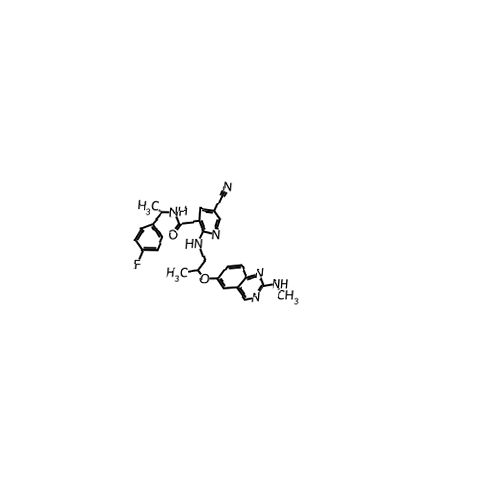 CNc1ncc2cc(OC(C)CNc3ncc(C#N)cc3C(=O)N[C@@H](C)c3ccc(F)cc3)ccc2n1